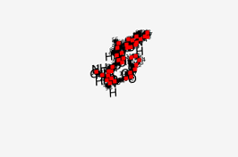 CCC(SC1CC(=O)N(CCCCCC(=O)N[C@H](C(=O)N[C@@H](CCCNC(N)=O)C(=O)Nc2ccc(COC(=O)N(C)[C@H](C(=O)N[C@H](C(=O)N(C)[C@@H]([C@@H](C)CC)[C@@H](CC(=O)N3CCC[C@H]3[C@H](OC)[C@@H](C)C(=O)N[C@@H](Cc3ccccc3)c3nccs3)OC)C(C)C)C(C)C)cc2)C(C)C)C1=O)C1CCCCCCCCCC1